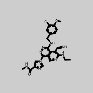 CCNc1ncc2c(-n3cnc(C(=O)NC)c3)nnc(NCc3ccc(OC)c(Cl)c3)c2c1C=N